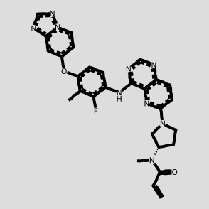 C=CC(=O)N(C)[C@H]1CCN(c2ccc3ncnc(Nc4ccc(Oc5ccn6ncnc6c5)c(C)c4F)c3n2)C1